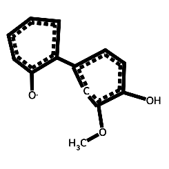 COc1cc(-c2ccccc2[O])ccc1O